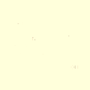 OCc1ccc(N(CC(F)(F)F)C2CC2)cc1Cl